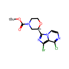 CC(C)(C)OC(=O)N1CCO[C@@H](c2nc(Br)c3c(Cl)nccn23)C1